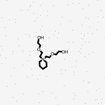 OCCOCC[N+]1(CCOCCO)CCCCC1